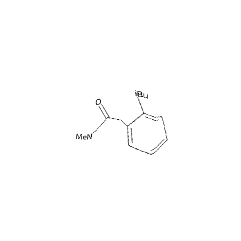 CCC(C)c1ccccc1C(=O)NC